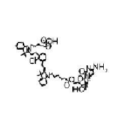 CC1(C)C(CCC2=C(Cl)/C(=C/C=C3/N(CCCCCC(=O)OCC4OC(n5ccc(N)nc5=O)C(F)(F)C4O)c4ccccc4C3(C)C)CCC2)=[N+](CCCCS(=O)(=O)O)c2ccccc21